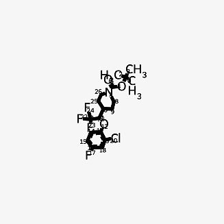 CC(C)(C)OC(=O)N1CCC([C@H](Oc2ccc(F)cc2Cl)C(F)(F)F)CC1